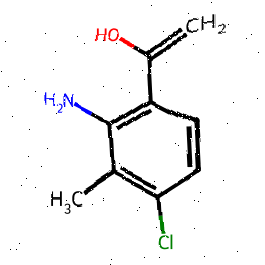 C=C(O)c1ccc(Cl)c(C)c1N